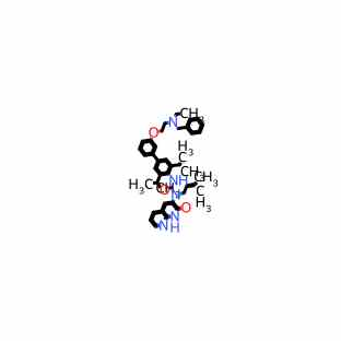 CCN(CCOc1cccc(-c2cc(C(C)C)c(NC(=O)N(CC=C(C)C)c3cc4cccnc4[nH]c3=O)c(C(C)C)c2)c1)Cc1ccccc1